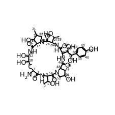 CC(O)C1NC(=O)C(N)CC(O)C(O)NC(=O)C2C(O)C(C)CN2C(=O)C([C@H](C)O)NC(=O)C(C(O)C(O)c2ccc(O)cc2)NC(=O)C2CC(O)CN2C1=O